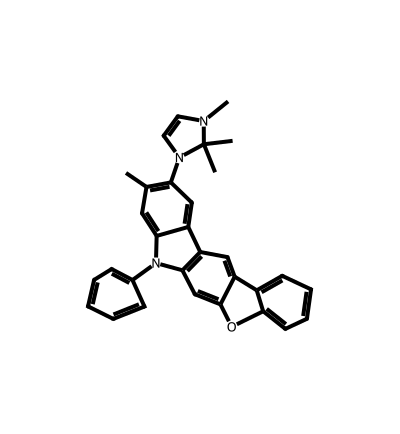 Cc1cc2c(cc1N1C=CN(C)C1(C)C)c1cc3c(cc1n2-c1ccccc1)oc1ccccc13